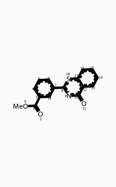 COC(=O)c1cccc(-c2nc(=O)c3ccccc3s2)c1